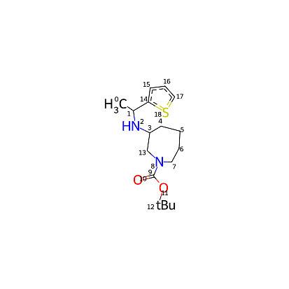 CC(NC1CCCCN(C(=O)OC(C)(C)C)C1)c1cccs1